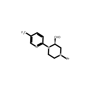 CC(C)N1CCN(c2ccc(C(F)(F)F)cn2)[C@@H](C=O)C1